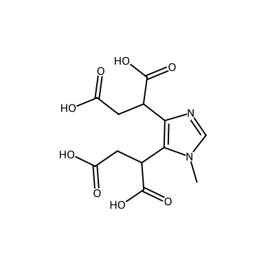 Cn1cnc(C(CC(=O)O)C(=O)O)c1C(CC(=O)O)C(=O)O